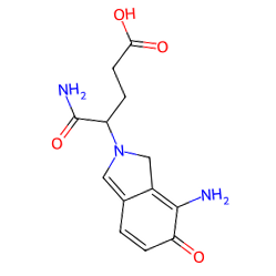 NC(=O)C(CCC(=O)O)N1C=C2C=CC(=O)C(N)=C2C1